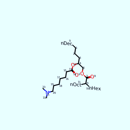 CCCCCCCCCCCCCC(COC(=O)C(CCCCCC)CCCCCCCC)OC(=O)CCCCCCN(C)C